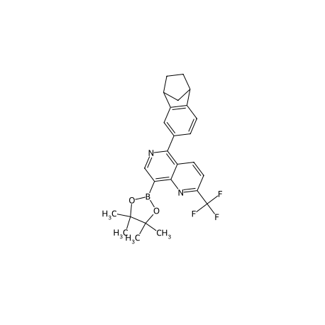 CC1(C)OB(c2cnc(-c3ccc4c(c3)C3CCC4C3)c3ccc(C(F)(F)F)nc23)OC1(C)C